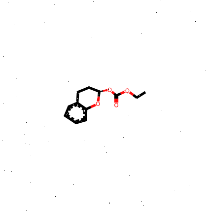 CCOC(=O)O[C@@H]1CCc2ccccc2O1